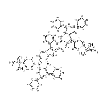 C[Si](C)(C)c1ccc(N(c2ccc3c(c2)sc2c4ccc(N(c5ccc([Si](C)(C)C)cc5)c5cc(-c6ccccc6)cc(-c6ccccc6)c5F)cc4c4ccccc4c32)c2cc(-c3ccccc3)cc(-c3ccccc3)c2F)cc1